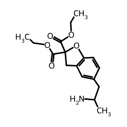 CCOC(=O)C1(C(=O)OCC)Cc2cc(CC(C)N)ccc2O1